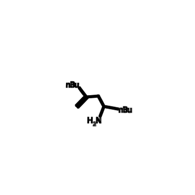 C=C(CCCC)CC(N)CCCC